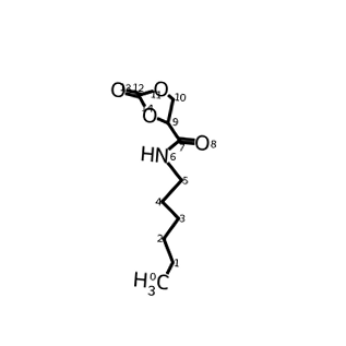 CCCCCCNC(=O)C1COC(=O)O1